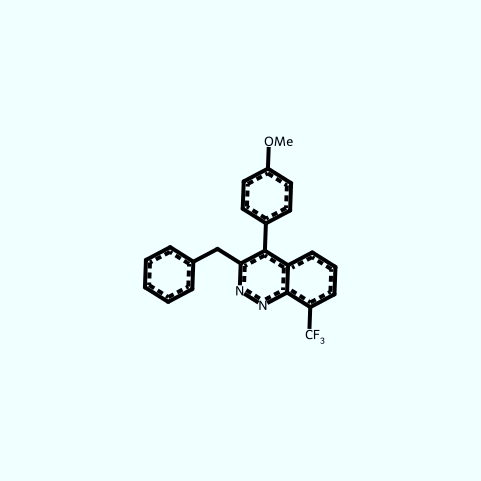 COc1ccc(-c2c(Cc3ccccc3)nnc3c(C(F)(F)F)cccc23)cc1